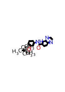 CC(C)(C)[Si](C)(C)Oc1cccc(NC(=O)c2ccc3nccnc3c2)c1